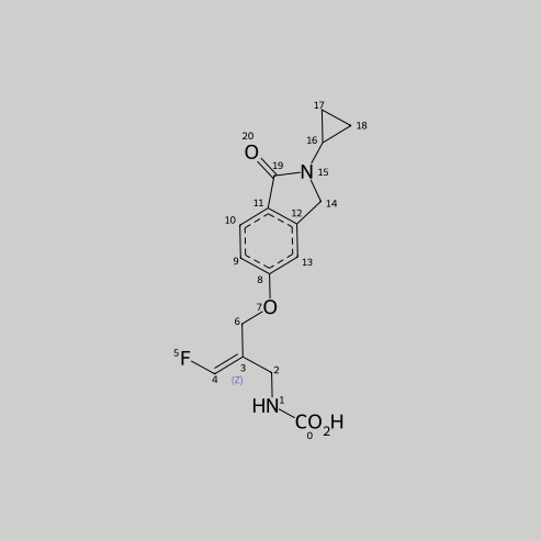 O=C(O)NC/C(=C/F)COc1ccc2c(c1)CN(C1CC1)C2=O